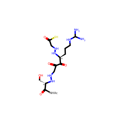 CC(=O)NC(=O)[C@H](CO)NNCC(=O)C(=O)[C@H](CCCNC(N)N)NNCC(=O)S